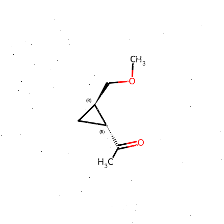 COC[C@@H]1C[C@H]1C(C)=O